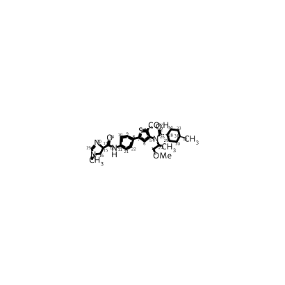 COCC(C)N(c1cc(-c2ccc(NC(=O)C3CN(C)C=N3)cc2)sc1C(=O)O)C(=O)[C@H]1CC[C@H](C)CC1